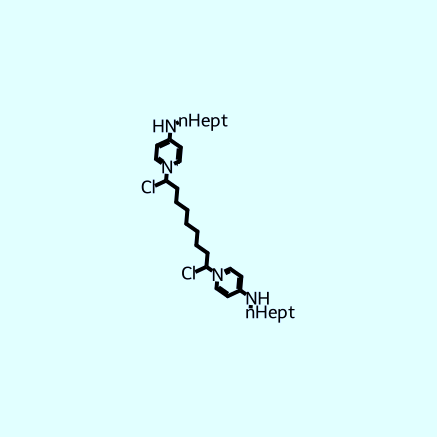 CCCCCCCNc1cc[n+](C(Cl)CCCCCCCC(Cl)[n+]2ccc(NCCCCCCC)cc2)cc1